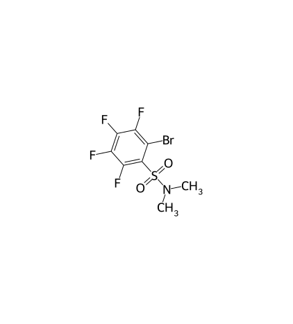 CN(C)S(=O)(=O)c1c(F)c(F)c(F)c(F)c1Br